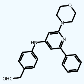 O=CCc1ccc(Nc2cc(-c3ccccc3)nc(N3CCOCC3)c2)cc1